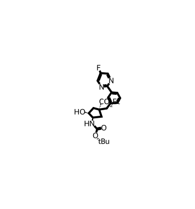 CCOC(=O)[C@@]1(Cc2cccc(-c3ncc(F)cn3)c2)C[C@@H](O)[C@H](NC(=O)OC(C)(C)C)C1